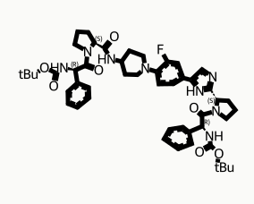 CC(C)(C)OC(=O)N[C@@H](C(=O)N1CCC[C@H]1C(=O)NC1CCN(c2ccc(-c3cnc([C@@H]4CCCN4C(=O)[C@H](NC(=O)OC(C)(C)C)c4ccccc4)[nH]3)cc2F)CC1)c1ccccc1